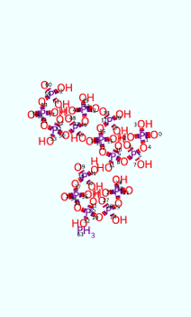 O=P(O)(O)OP(=O)(O)OP(=O)(O)OP(=O)(O)OP(=O)(O)O.O=P(O)(O)OP(=O)(O)OP(=O)(O)OP(=O)(O)OP(=O)(O)O.O=P(O)(O)OP(=O)(O)OP(=O)(O)OP(=O)(O)OP(=O)(O)O.P